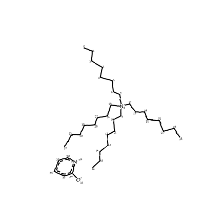 CCCCCCCC[N+](CCCCCCCC)(CCCCCCCC)CCCCCCCC.[O-]c1ccccn1